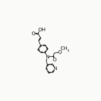 COCC(=O)N(Cc1cccnc1)c1ccc(C=CC(=O)O)cc1